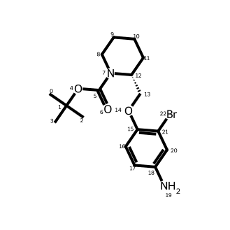 CC(C)(C)OC(=O)N1CCCC[C@@H]1COc1ccc(N)cc1Br